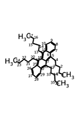 CCCCCc1c2ccccc2c(CCCCC)c2c(CCCCC)c3ccccc3c(CCCCC)c12